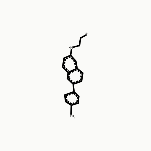 Cc1ccc(-c2ccc3cc(NCC[18F])ccc3c2)cc1